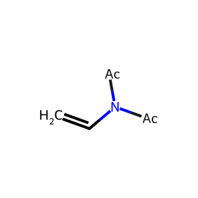 C=CN(C(C)=O)C(C)=O